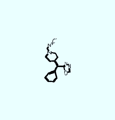 [C-]#[N+]CN1CCC(=C(c2ccccc2)c2nnco2)CC1